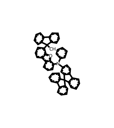 CC1(c2cccc3c2oc2c(N(c4ccccc4)c4ccc5c(c4)C4(c6ccccc6-c6ccccc64)c4ccccc4-5)cccc23)c2ccccc2-c2ccccc21